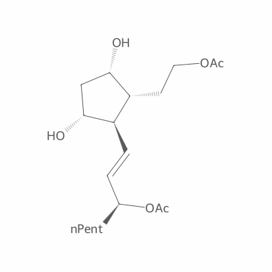 CCCCC[C@@H](/C=C/[C@@H]1[C@@H](CCOC(C)=O)[C@@H](O)C[C@H]1O)OC(C)=O